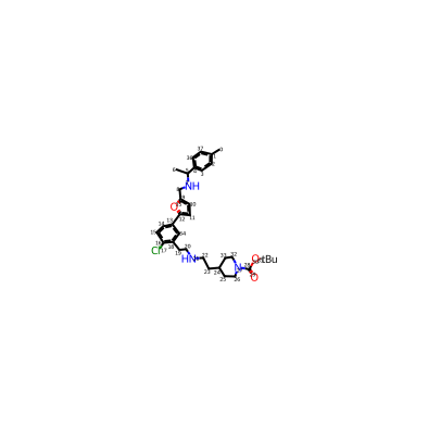 Cc1ccc(C(C)NCc2ccc(-c3ccc(Cl)c(CCNCCC4CCN(C(=O)OC(C)(C)C)CC4)c3)o2)cc1